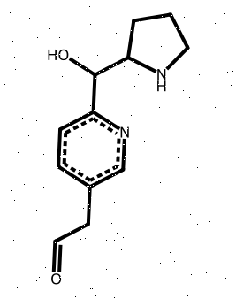 O=CCc1ccc(C(O)C2CCCN2)nc1